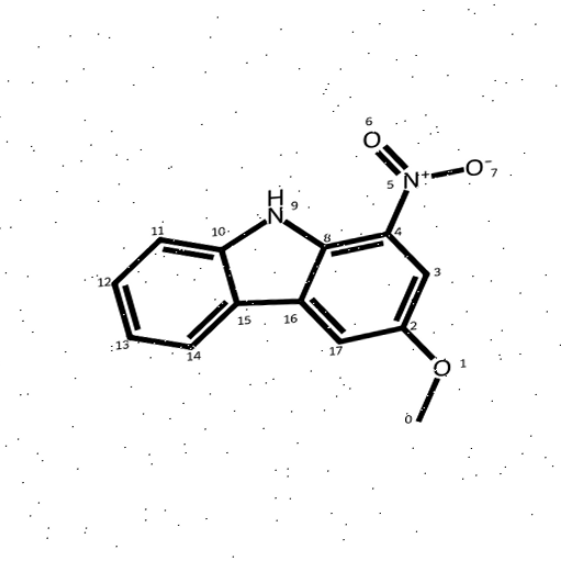 COc1cc([N+](=O)[O-])c2[nH]c3ccccc3c2c1